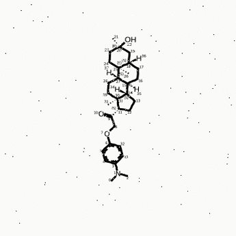 CN(C)c1ccc(OCC(=O)[C@H]2CC[C@H]3[C@@H]4CC[C@H]5C[C@](C)(O)CC[C@]5(C)[C@H]4CC[C@]23C)cc1